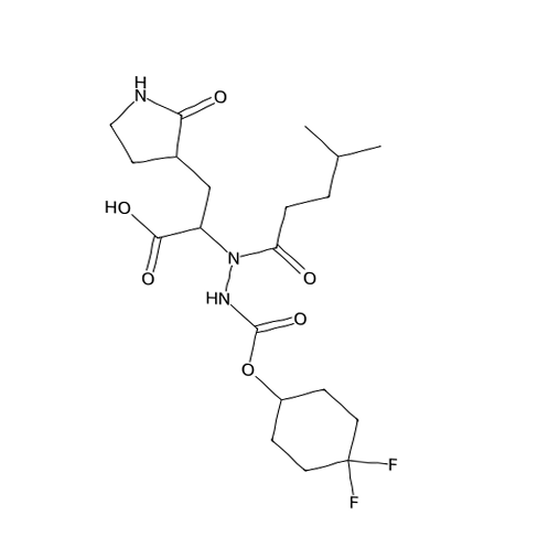 CC(C)CCC(=O)N(NC(=O)OC1CCC(F)(F)CC1)C(CC1CCNC1=O)C(=O)O